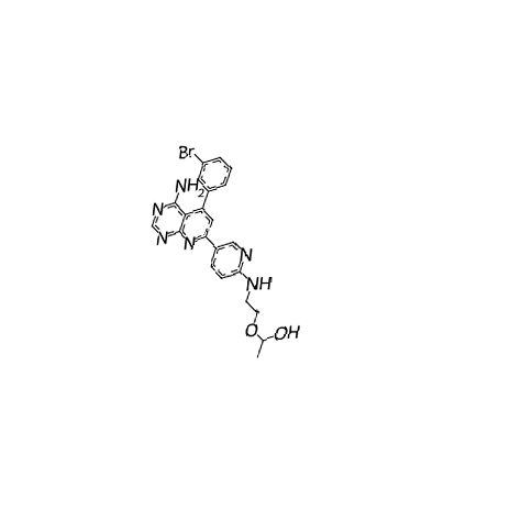 CC(O)OCCNc1ccc(-c2cc(-c3cccc(Br)c3)c3c(N)ncnc3n2)cn1